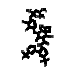 CN(C)CC(C)(C)Oc1ccc(CN2C(=O)C(C(=O)Nc3ccc(C(F)(F)F)cc3-c3cc(C(F)(F)F)ncn3)=C(O)C3(CCC3)N2C)c(F)c1F